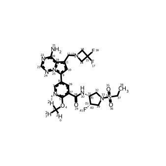 [2H]C([2H])([2H])Oc1ncc(-c2cc(CN3CC(F)(F)C3)c3c(N)ncnn23)cc1C(=O)N[C@@H]1CN(S(=O)(=O)CC)C[C@@H]1F